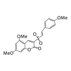 COc1ccc(C=CS(=O)(=O)c2cc3c(OC)cc(OC)cc3oc2=O)cc1